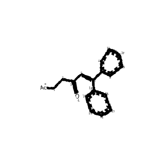 CC(=O)CCC(=O)C=C(c1ccccc1)c1ccccc1